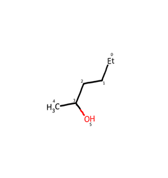 CCCC[C](C)O